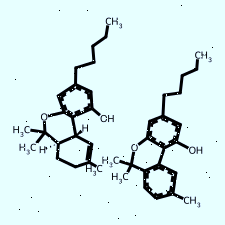 CCCCCc1cc(O)c2c(c1)OC(C)(C)[C@@H]1CCC(C)=C[C@@H]21.CCCCCc1cc(O)c2c(c1)OC(C)(C)c1ccc(C)cc1-2